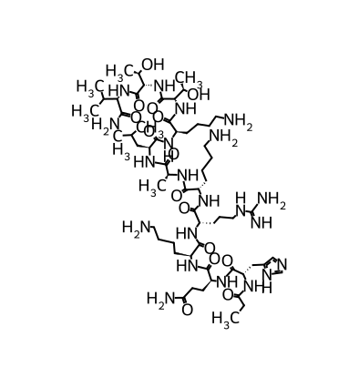 CCC(=O)N[C@@H](Cc1cnc[nH]1)C(=O)N[C@@H](CCC(N)=O)C(=O)N[C@@H](CCCCN)C(=O)N[C@@H](CCCNC(=N)N)C(=O)N[C@@H](CCCCN)C(=O)N[C@@H](C)C(=O)N[C@@H](CC(C)C)C(=O)N[C@H](CCCCN)C(=O)N[C@H](C(=O)N[C@H](C(=O)N[C@H](C(N)=O)C(C)C)[C@@H](C)O)[C@@H](C)O